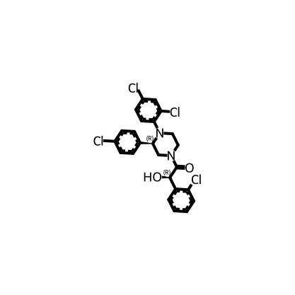 O=C([C@H](O)c1ccccc1Cl)N1CCN(c2ccc(Cl)cc2Cl)[C@H](c2ccc(Cl)cc2)C1